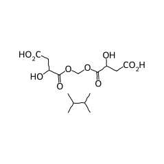 CC(C)C(C)C.O=C(O)CC(O)C(=O)OCOC(=O)C(O)CC(=O)O